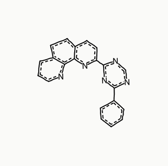 c1ccc(-c2ncnc(-c3ccc4ccc5cccnc5c4n3)n2)cc1